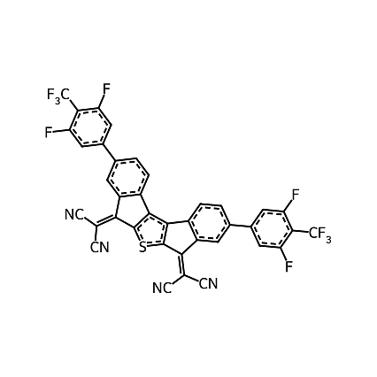 N#CC(C#N)=C1c2cc(-c3cc(F)c(C(F)(F)F)c(F)c3)ccc2-c2c1sc1c2-c2ccc(-c3cc(F)c(C(F)(F)F)c(F)c3)cc2C1=C(C#N)C#N